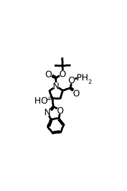 CC(C)(C)OC(=O)N1C[C@](O)(c2nc3ccccc3o2)CC1C(=O)OP